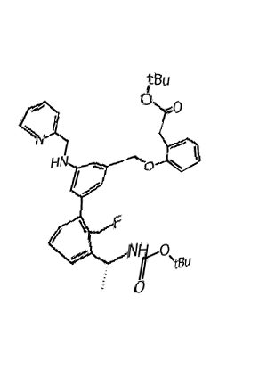 C[C@@H](NC(=O)OC(C)(C)C)c1cccc(-c2cc(COc3ccccc3CC(=O)OC(C)(C)C)cc(NCc3ccccn3)c2)c1F